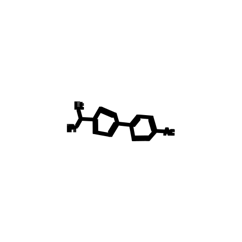 CCC(c1ccc(-c2ccc(C(C)=O)cc2)cc1)C(C)C